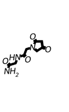 NC(=O)CNC(=O)CN1CC(=O)CC1=O